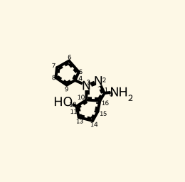 Nc1nn(-c2ccccc2)c2c(O)cccc12